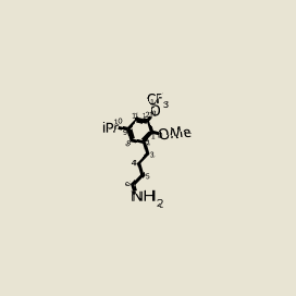 COc1c(CCCCN)cc(C(C)C)cc1OC(F)(F)F